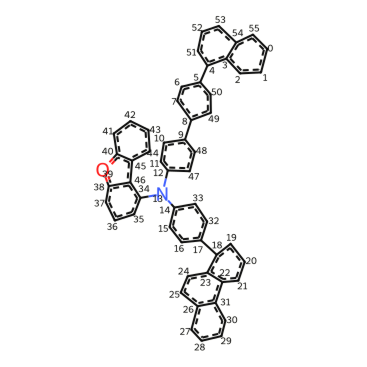 c1ccc2c(-c3ccc(-c4ccc(N(c5ccc(-c6cccc7c6ccc6ccccc67)cc5)c5cccc6oc7ccccc7c56)cc4)cc3)cccc2c1